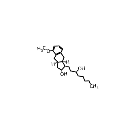 CCCCC[C@H](O)CC[C@@H]1[C@H]2Cc3cccc(OC)c3C[C@H]2C[C@H]1O